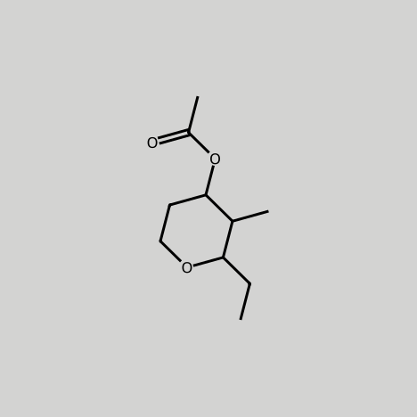 CCC1OCCC(OC(C)=O)C1C